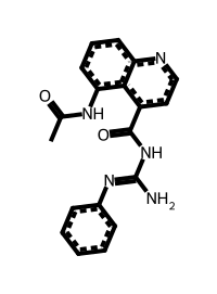 CC(=O)Nc1cccc2nccc(C(=O)NC(N)=Nc3ccccc3)c12